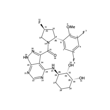 COc1c(F)cc(F)cc1[C@H]1C[C@H](F)CN1C(=O)c1n[nH]c2ncnc(N[C@@H]3CCC[C@@H](O)[C@H]3O)c12